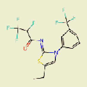 CCc1cn(-c2cccc(C(F)(F)F)c2)c(=NC(=O)C(F)C(F)(F)F)s1